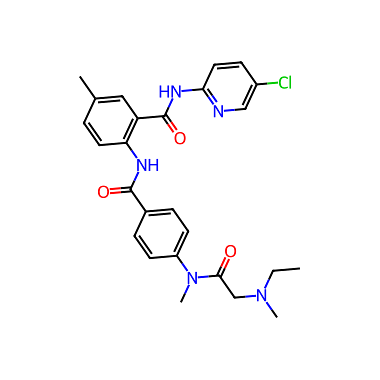 CCN(C)CC(=O)N(C)c1ccc(C(=O)Nc2ccc(C)cc2C(=O)Nc2ccc(Cl)cn2)cc1